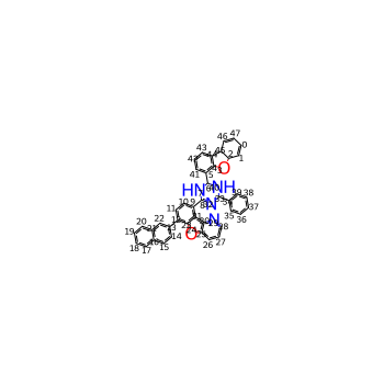 C1=CC2Oc3c(C4NC(c5ccc(-c6ccc7ccccc7c6)c6oc7cccnc7c56)=NC(c5ccccc5)N4)cccc3C2C=C1